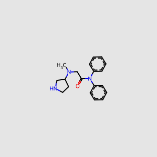 CN(CC(=O)N(c1ccccc1)c1ccccc1)C1CCNC1